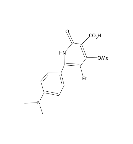 CCc1c(-c2ccc(N(C)C)cc2)[nH]c(=O)c(C(=O)O)c1OC